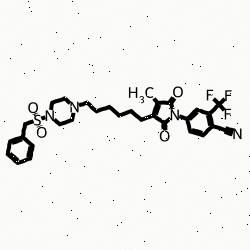 CC1=C(CCCCCCN2CCN(S(=O)(=O)Cc3ccccc3)CC2)C(=O)N(c2ccc(C#N)c(C(F)(F)F)c2)C1=O